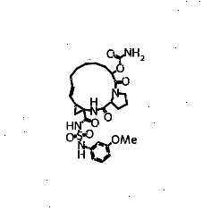 COc1cccc(NS(=O)(=O)NC(=O)C23CC2/C=C/CCCCCC(OC(N)=O)C(=O)N2CCCC2C(=O)N3)c1